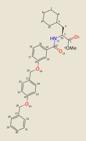 COC(=O)[C@H](CC1CCCCC1)NC(=O)c1cccc(OCc2ccc(OCc3ccccc3)cc2)c1